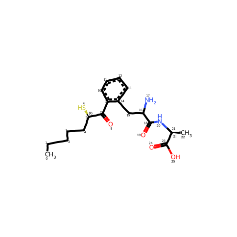 CCCCC[C@@H](S)C(=O)c1ccccc1CC(N)C(=O)N[C@@H](C)C(=O)O